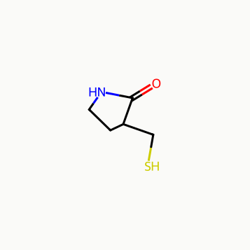 O=C1NCCC1CS